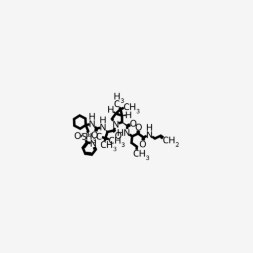 C=CCNC(=O)C(=O)C(CCC)NC(=O)[C@@H]1[C@@H]2[C@H](CN1C(=O)[C@@H](NC(=O)NC1(C[S+]([O-])c3ccccn3)CCCCC1)C(C)(C)C)C2(C)C